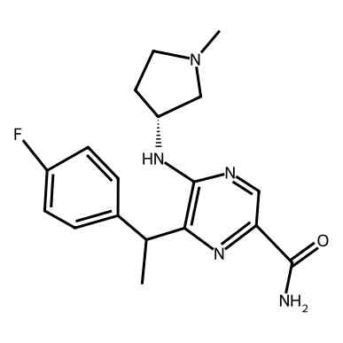 CC(c1ccc(F)cc1)c1nc(C(N)=O)cnc1N[C@@H]1CCN(C)C1